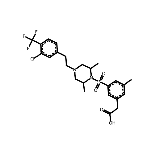 Cc1cc(CC(=O)O)cc(S(=O)(=O)N2C(C)CN(CCc3ccc(C(F)(F)F)c(Cl)c3)CC2C)c1